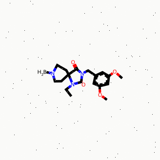 BN1CCC2(CC1)C(=O)N(Cc1cc(OC)cc(OC)c1)C(=O)N2CC